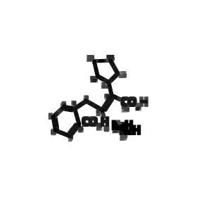 O=C(O)/C(Cc1ccccc1)=C(\C(=O)O)C1CCCC1.[NaH].[NaH]